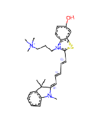 CN1/C(=C/C=C/C=C/c2sc3cc(O)ccc3[n+]2CCC[N+](C)(C)C)C(C)(C)c2ccccc21